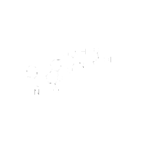 C[C@@H](Oc1ccc2c(-c3ccccc3C#N)cc(=O)oc2c1)C(=O)N1CCC[C@H](C(=O)O)C1